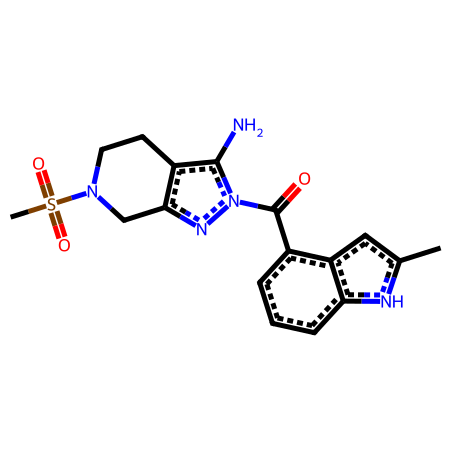 Cc1cc2c(C(=O)n3nc4c(c3N)CCN(S(C)(=O)=O)C4)cccc2[nH]1